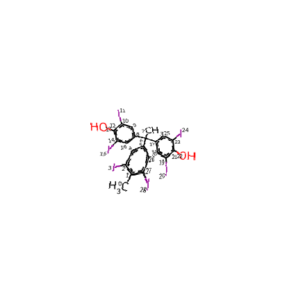 Cc1c(I)cc(C(C)(c2cc(I)c(O)c(I)c2)c2cc(I)c(O)c(I)c2)cc1I